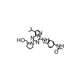 CC(=O)Nc1ccc(CNc2nc(N3CCC[C@H]3CO)nc3c(C(C)C)cnn23)cc1